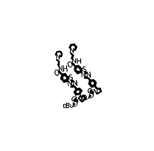 CC(C)(C)OC(=O)N1CCCC1c1ccc(-c2cn3c(n2)sc2cc(C(=O)NCCCN4CCCCC4)ccc23)cc1.CC(C)(C)OC(=O)N1CCC[C@@H]1c1ccc(-c2cn3c(n2)sc2cc(C(=O)NCCCN4CCCCC4)ccc23)cc1